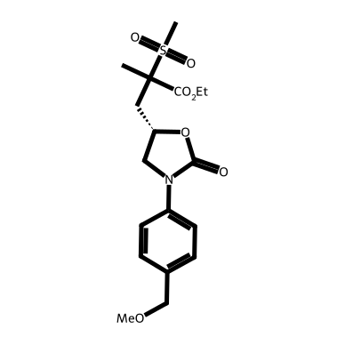 CCOC(=O)C(C)(C[C@H]1CN(c2ccc(COC)cc2)C(=O)O1)S(C)(=O)=O